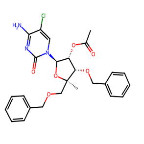 CC(=O)O[C@H]1[C@H](n2cc(Cl)c(N)nc2=O)O[C@](C)(COCc2ccccc2)[C@H]1OCc1ccccc1